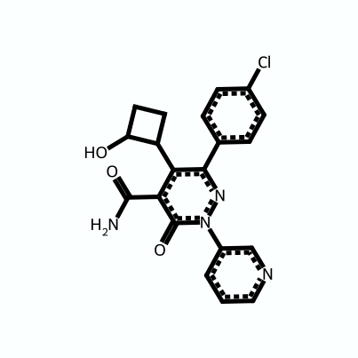 NC(=O)c1c(C2CCC2O)c(-c2ccc(Cl)cc2)nn(-c2cccnc2)c1=O